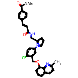 CNC(=O)c1ccc(C=CC(=O)NCc2cccn2-c2ccc(Cl)c(COc3cccc4ccc(C)nc34)c2)cc1